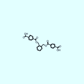 O=C(O)c1ccc(C(=O)OCc2ccccc2COC(=O)c2ccc(C(=O)O)cc2)cc1